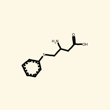 NC(CSc1ccccc1)CC(=O)O